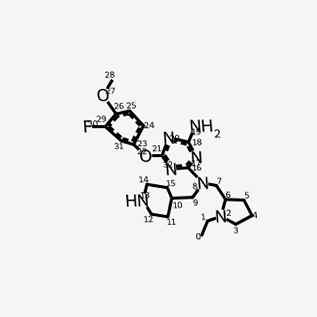 CCN1CCCC1CN(CC1CCNCC1)c1nc(N)nc(Oc2ccc(OC)c(F)c2)n1